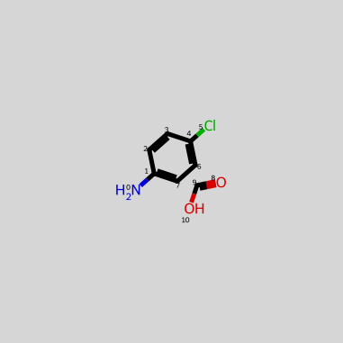 Nc1ccc(Cl)cc1.O=CO